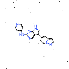 c1cc(Nc2ncc3c(-c4ccn5nccc5c4)c[nH]c3n2)ccn1